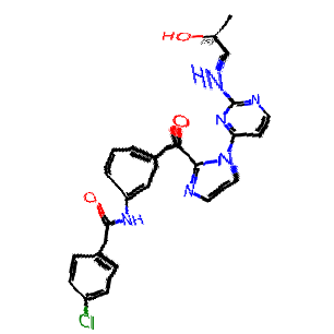 C[C@H](O)CNc1nccc(-n2ccnc2C(=O)c2cccc(NC(=O)c3ccc(Cl)cc3)c2)n1